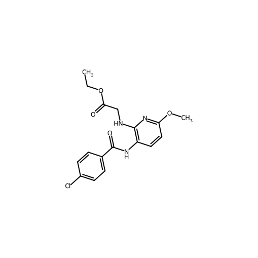 CCOC(=O)CNc1nc(OC)ccc1NC(=O)c1ccc(Cl)cc1